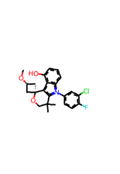 CO[C@H]1C[C@@]2(C1)OCC(C)(C)c1c2c2c(O)cccc2n1-c1ccc(F)c(Cl)c1